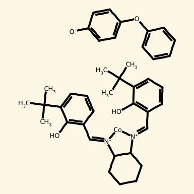 CC(C)(C)c1cccc(C=[N+]2[Co][N+](=Cc3cccc(C(C)(C)C)c3O)C3CCCCC32)c1O.[O-]c1ccc(Oc2ccccc2)cc1